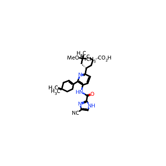 COC(C)(C)C[C@H](C[C@H](C)C(=O)O)c1ccc(NC(=O)c2nc(C#N)c[nH]2)c(C2=CCC(C)(C)CC2)n1